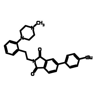 CN1CCN(c2ccccc2CCN2C(=O)c3ccc(-c4ccc(C(C)(C)C)cc4)cc3C2=O)CC1